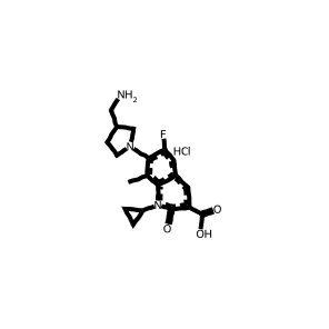 Cc1c(N2CCC(CN)C2)c(F)cc2cc(C(=O)O)c(=O)n(C3CC3)c12.Cl